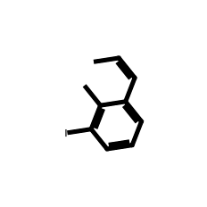 C/C=C\c1cccc(I)c1C